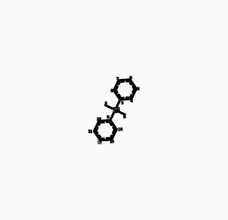 C[Si](C)(c1ccccc1)c1ccccc1